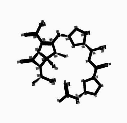 CC(=N)N[C@H]1CCN(C(=O)CC(O)[C@@H]2C[C@H](SC3=C(C(=O)O)N4C(=O)[C@H]([C@@H](C)O)[C@H]4[C@H]3C)CN2)C1